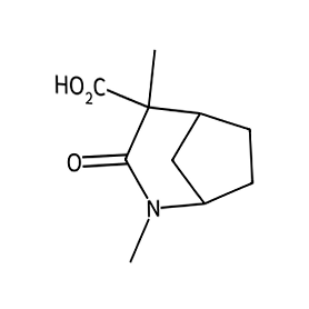 CN1C(=O)C(C)(C(=O)O)C2CCC1C2